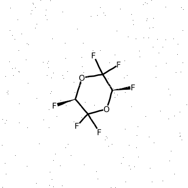 F[C@H]1OC(F)(F)[C@@H](F)OC1(F)F